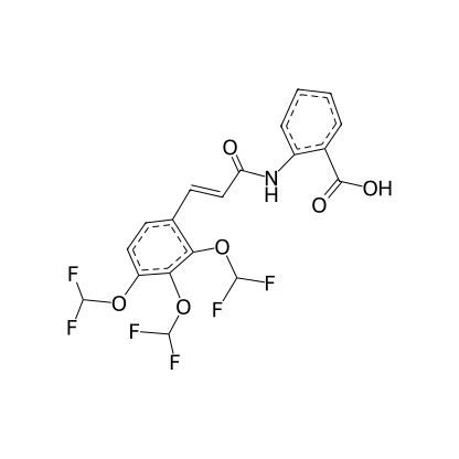 O=C(/C=C/c1ccc(OC(F)F)c(OC(F)F)c1OC(F)F)Nc1ccccc1C(=O)O